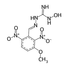 COc1ccc([N+](=O)[O-])c(C=NNC(=N)NO)c1[N+](=O)[O-]